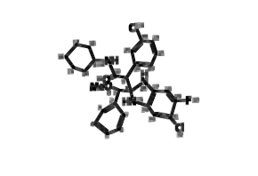 COC(c1ccccc1)C1(C(C(=O)NC2CCCCC2)c2cccc(Cl)c2)Nc2cc(F)c(Cl)cc2N1